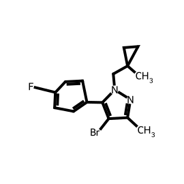 Cc1nn(CC2(C)CC2)c(-c2ccc(F)cc2)c1Br